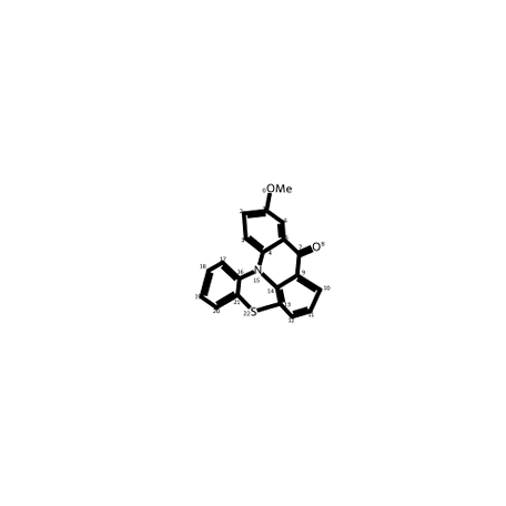 COc1ccc2c(c1)c(=O)c1cccc3c1n2-c1ccccc1S3